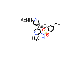 COc1cc(C)ccc1S(=O)(=O)Nc1cc(-c2ccnc(NC(C)=O)c2)cnc1C